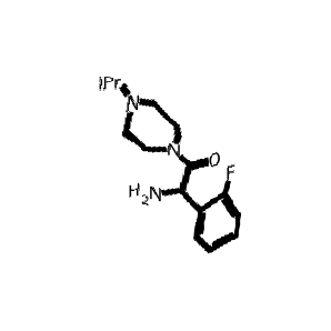 CC(C)N1CCN(C(=O)C(N)c2ccccc2F)CC1